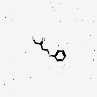 O=C(CF)CCSc1ccccc1